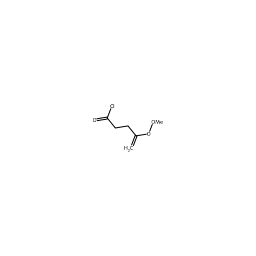 C=C(CCC(=O)Cl)OOC